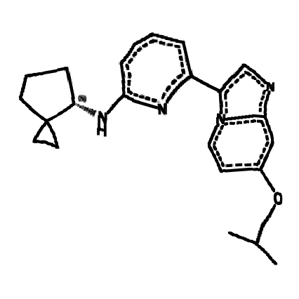 CC(C)Oc1ccn2c(-c3cccc(N[C@H]4CCCC45CC5)n3)cnc2c1